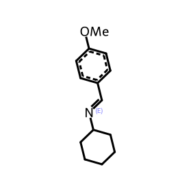 COc1ccc(/C=N/C2CCCCC2)cc1